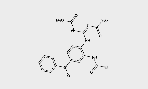 CCC(=O)Nc1cc([S+]([O-])c2ccccc2)ccc1NC(=NC(=O)OC)NC(=O)OC